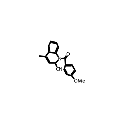 COc1ccc(C(=O)N2c3ccccc3C(C)=CC2C#N)cc1